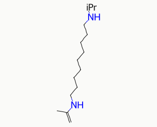 C=C(C)NCCCCCCCCCNC(C)C